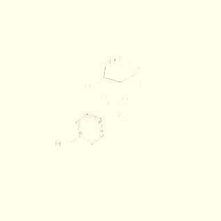 Cc1ccc(S(=O)(=O)O[C@H](C(C)O)P(=O)(O)O)cc1